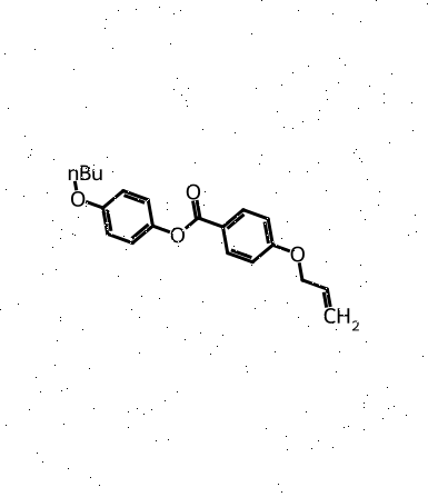 C=CCOc1ccc(C(=O)Oc2ccc(OCCCC)cc2)cc1